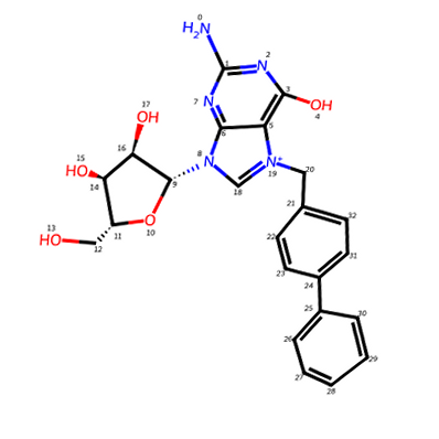 Nc1nc(O)c2c(n1)n([C@@H]1O[C@H](CO)[C@@H](O)[C@H]1O)c[n+]2Cc1ccc(-c2ccccc2)cc1